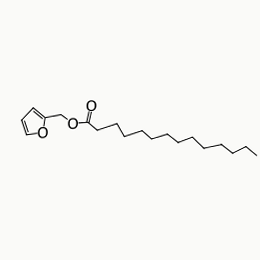 CCCCCCCCCCCCCC(=O)OCc1ccco1